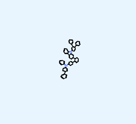 c1ccc(-c2ccc(N(c3ccccc3)c3ccc(-c4ccccc4-c4ccc5c6ccccc6n(-c6ccc(-c7ccccc7)c(-c7ccccc7)c6)c5c4)cc3)cc2)cc1